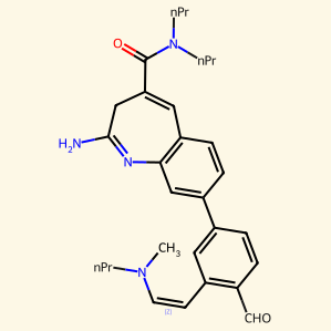 CCCN(C)/C=C\c1cc(-c2ccc3c(c2)N=C(N)CC(C(=O)N(CCC)CCC)=C3)ccc1C=O